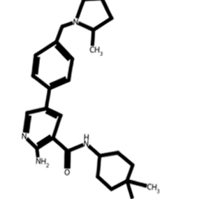 CC1CCCN1Cc1ccc(-c2cnc(N)c(C(=O)NC3CCC(C)(O)CC3)c2)cc1